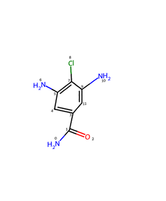 NC(=O)c1cc(N)c(Cl)c(N)c1